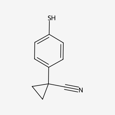 N#CC1(c2ccc(S)cc2)CC1